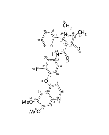 COc1cc2nccc(Oc3ccc(NC(=O)c4c(-c5ccccc5)n(C)n(C)c4=O)cc3F)c2cc1OC